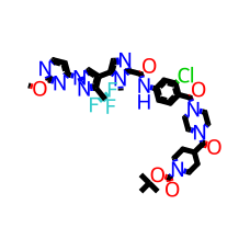 COc1nccc(-n2cc(-c3cnc(C(=O)Nc4ccc(C(=O)N5CCN(C(=O)C6CCN(C(=O)OC(C)(C)C)CC6)CC5)c(Cl)c4)n3C)c(C(F)(F)F)n2)n1